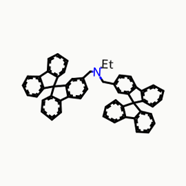 CCN(Cc1ccc2c(c1)C1(c3ccccc3-c3ccccc31)c1ccccc1-2)Cc1ccc2c(c1)C1(c3ccccc3-c3ccccc31)c1ccccc1-2